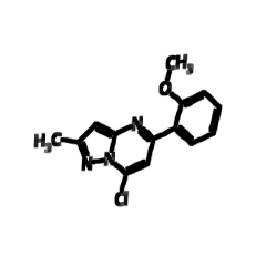 COc1ccccc1-c1cc(Cl)n2nc(C)cc2n1